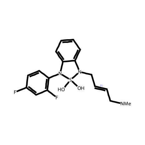 CNC/C=C/CN1c2ccccc2N(c2ccc(F)cc2F)S1(O)O